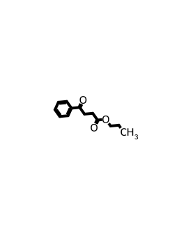 CCCOC(=O)CCC(=O)c1ccccc1